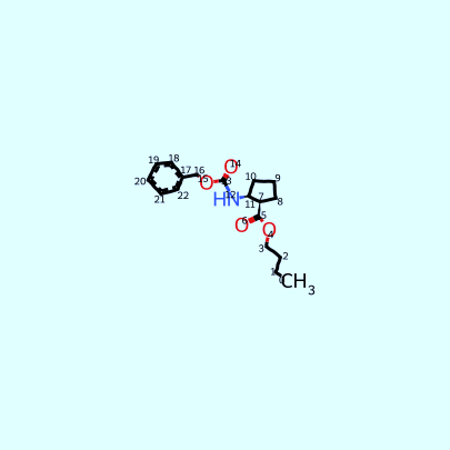 CCCCOC(=O)[C@@H]1CCC[C@@H]1NC(=O)OCc1ccccc1